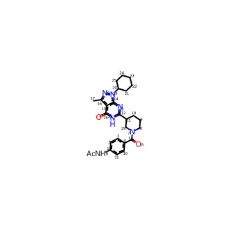 CC(=O)Nc1ccc(C(=O)N2CCCC(c3nc4c(c(C)nn4C4CCCCC4)c(=O)[nH]3)C2)cc1